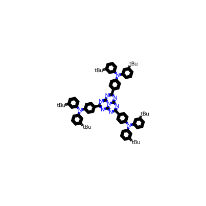 CC(C)(C)c1cccc(N(c2ccc(C3=NC4=NC(c5ccc(N(c6cccc(C(C)(C)C)c6)c6cccc(C(C)(C)C)c6)cc5)=NC5=NC(c6ccc(N(c7cccc(C(C)(C)C)c7)c7cccc(C(C)(C)C)c7)cc6)=NC(=N3)N45)cc2)c2cccc(C(C)(C)C)c2)c1